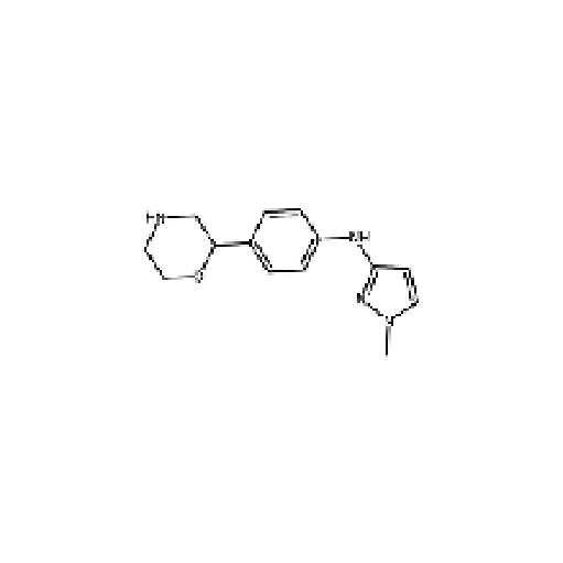 Cn1ccc(Nc2ccc(C3CNCCO3)cc2)n1